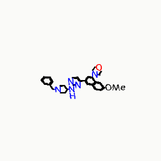 COc1ccc2cc(-c3ccnc(NC4CCN(Cc5ccccc5)CC4)n3)cc(N3CCOCC3)c2c1